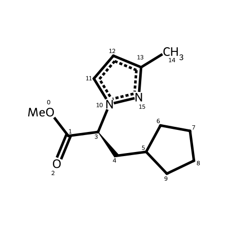 COC(=O)[C@H](CC1CCCC1)n1ccc(C)n1